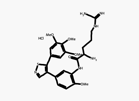 COc1ccc(-c2cnsc2-c2cc(OC)c(OC)c(OC)c2)cc1NC(=O)C(N)CCCNC(=N)N.Cl